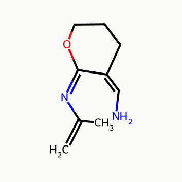 C=C(C)/N=C1/OCCC/C1=C/N